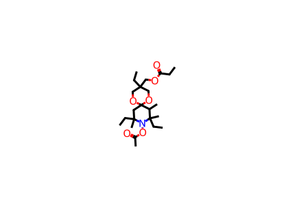 CCC(=O)OCC1(CC)COC2(CC(C)(CC)N(OC(C)=O)C(C)(CC)C2C)OC1